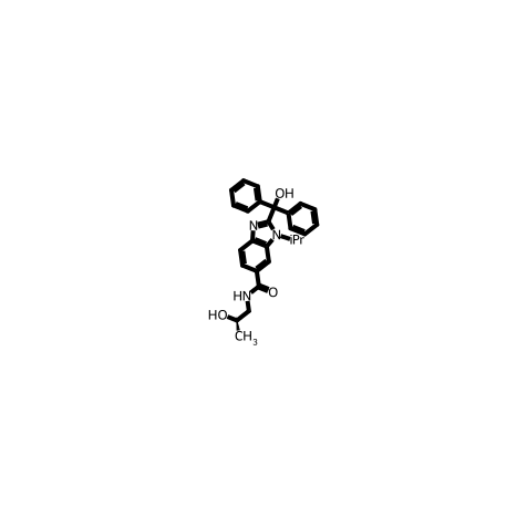 CC(C)n1c(C(O)(c2ccccc2)c2ccccc2)nc2ccc(C(=O)NC[C@@H](C)O)cc21